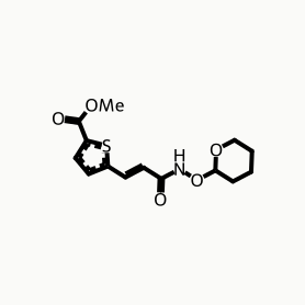 COC(=O)c1ccc(C=CC(=O)NOC2CCCCO2)s1